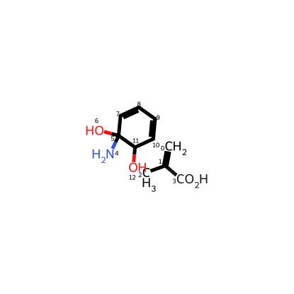 C=C(C)C(=O)O.NC1(O)C=CC=CC1O